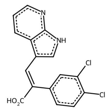 O=C(O)C(=Cc1c[nH]c2ncccc12)c1ccc(Cl)c(Cl)c1